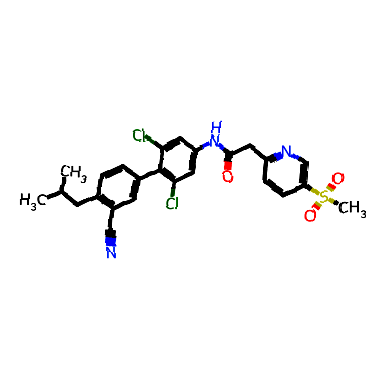 CC(C)Cc1ccc(-c2c(Cl)cc(NC(=O)Cc3ccc(S(C)(=O)=O)cn3)cc2Cl)cc1C#N